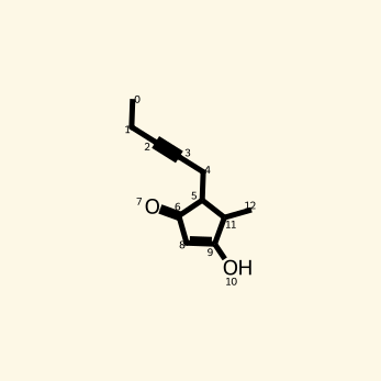 CCC#CCC1C(=O)C=C(O)C1C